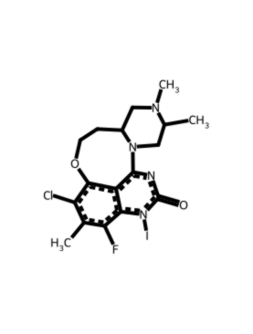 Cc1c(Cl)c2c3c(nc(=O)n(I)c3c1F)N1CC(C)N(C)CC1CCO2